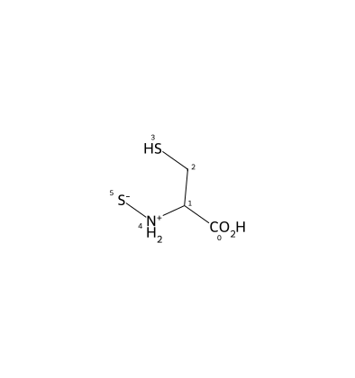 O=C(O)C(CS)[NH2+][S-]